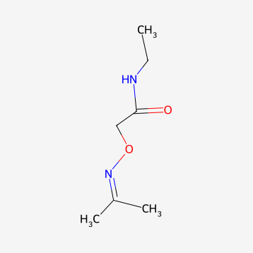 CCNC(=O)CON=C(C)C